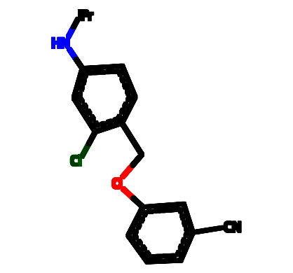 CC(C)Nc1ccc(COc2cccc(C#N)c2)c(Cl)c1